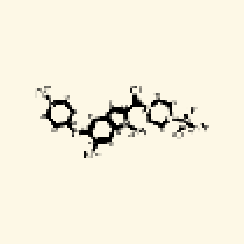 CCCS(=O)(=O)N1CCN(C(=O)c2cc3cc(OC4CCN(C(C)C)CC4)c(Br)cc3n2C(C)C)CC1